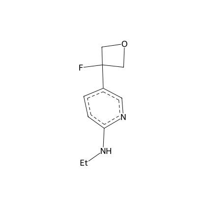 CCNc1ccc(C2(F)COC2)cn1